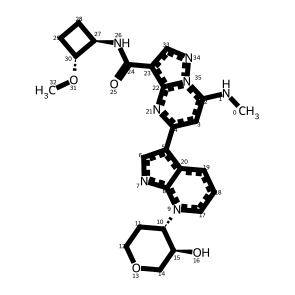 CNc1cc(-c2cnc3n([C@H]4CCOC[C@@H]4O)cccc2-3)nc2c(C(=O)N[C@@H]3CC[C@H]3OC)cnn12